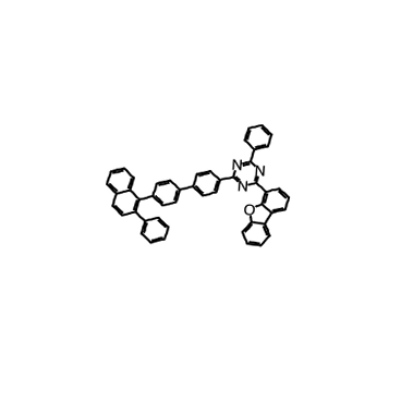 c1ccc(-c2nc(-c3ccc(-c4ccc(-c5c(-c6ccccc6)ccc6ccccc56)cc4)cc3)nc(-c3cccc4c3oc3ccccc34)n2)cc1